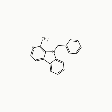 [CH2]c1nccc2c3ccccc3n(Cc3ccccc3)c12